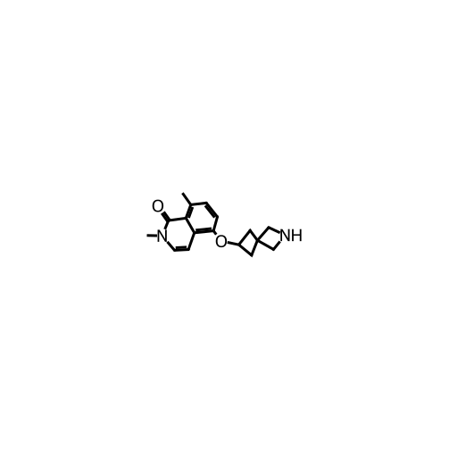 Cc1ccc(OC2CC3(CNC3)C2)c2ccn(C)c(=O)c12